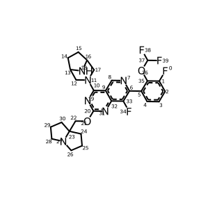 Fc1cccc(-c2ncc3c(N4CC5CCC(C4)N5)nc(OCC45CCCN4CCC5)nc3c2F)c1OC(F)F